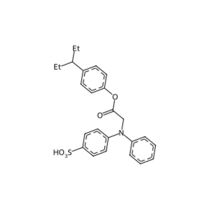 CCC(CC)c1ccc(OC(=O)CN(c2ccccc2)c2ccc(S(=O)(=O)O)cc2)cc1